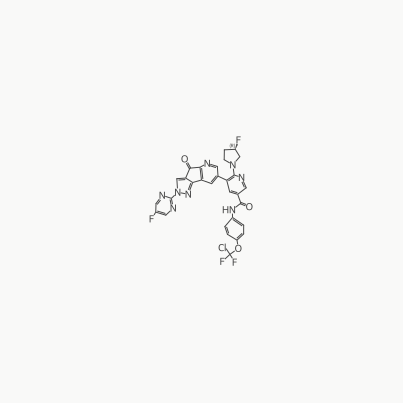 O=C(Nc1ccc(OC(F)(F)Cl)cc1)c1cnc(N2CC[C@@H](F)C2)c(-c2cnc3c(c2)-c2nn(-c4ncc(F)cn4)cc2C3=O)c1